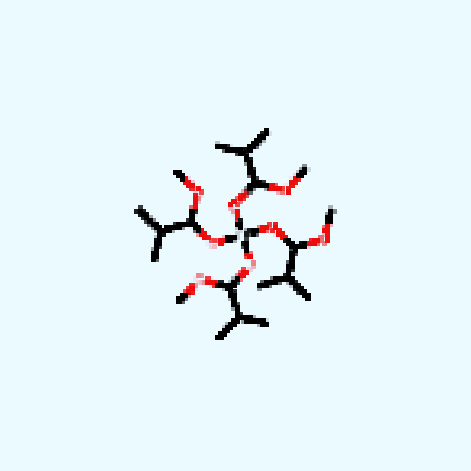 COC([O][Hf]([O]C(OC)C(C)C)([O]C(OC)C(C)C)[O]C(OC)C(C)C)C(C)C